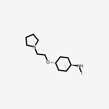 IN[C@H]1CC[C@H](OCCN2CCCC2)CC1